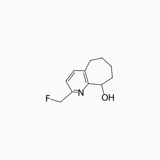 OC1CCCCc2ccc(CF)nc21